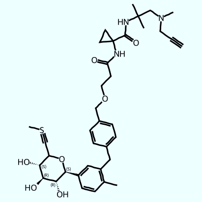 C#CCN(C)CC(C)(C)NC(=O)C1(NC(=O)CCOCc2ccc(Cc3cc([C@@H]4OC(C#SC)[C@@H](O)[C@H](O)[C@H]4O)ccc3C)cc2)CC1